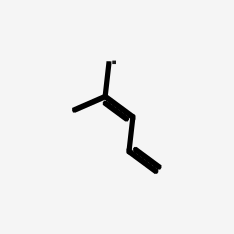 [CH2]C(C)=CC=C